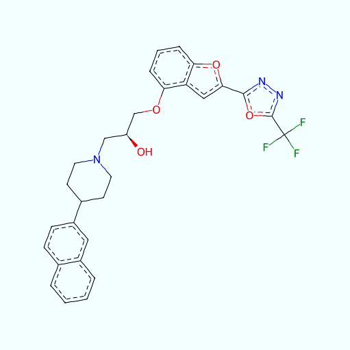 O[C@H](COc1cccc2oc(-c3nnc(C(F)(F)F)o3)cc12)CN1CCC(c2ccc3ccccc3c2)CC1